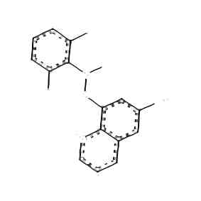 COc1cc(NN(C)c2c(F)cccc2F)c2ncccc2c1